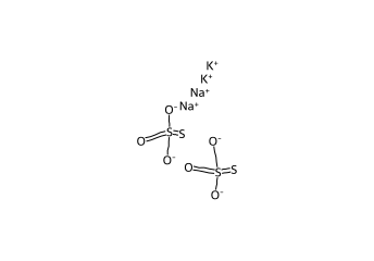 O=S([O-])([O-])=S.O=S([O-])([O-])=S.[K+].[K+].[Na+].[Na+]